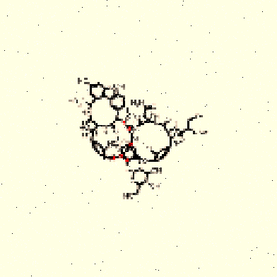 CN[C@H](CC(C)C)C(=O)NC1C(=O)N[C@@H](CC(N)=O)C(=O)N[C@H]2C(=O)N(C)[C@H]3C(=O)N[C@H](C(=O)NC(C(=O)O)c4cc(O)cc(O)c4-c4cc3ccc4O)[C@H](O)c3ccc(c(C)c3)Oc3cc2cc(c3O[C@@H]2OC(CO)[C@@H](O)C(O)[C@H]2O[C@H]2C[C@](C)(N)[C@H](O)[C@H](C)O2)Oc2ccc(cc2Cl)[C@H]1O